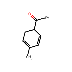 CC1=CCC(C(=O)C(C)C)C=C1